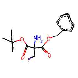 CC(C)(C)OC(=O)C(N)(CI)C(=O)OCc1ccccc1